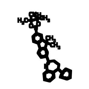 CC1(C)c2cc(B3OC(C)(C)C(C)(C)O3)ccc2-c2ccc(C3=Nc4ccccc4C(c4ccccc4)CC3)cc21